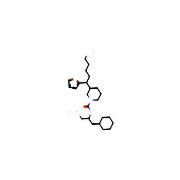 CNCC(CC1CCCCC1)NC(=O)N1CCCC(C(CCCCOC)c2cccs2)C1